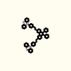 C(=C\c1ccc2c(-c3ccccc3)c(-c3ccccc3)c3ccc(/C=C/c4ccc(N5c6ccccc6Sc6ccccc65)cc4)cc3c2c1)/c1ccc(N2c3ccccc3Sc3ccccc32)cc1